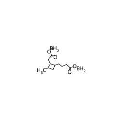 BOC(=O)CCCC1CC(C)C1CC(=O)OB